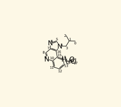 CC(C)Cn1cnc2cnc3ccccc3c21.Cl.O